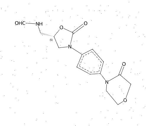 O=CNC[C@H]1CN(c2ccc(N3CCOCC3=O)cc2)C(=O)O1